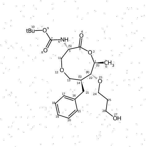 C[C@@H]1OC(=O)[C@@H](NC(=O)OC(C)(C)C)COC[C@H](Cc2ccccc2)[C@H]1OCCCO